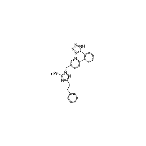 CCCc1nc(CCc2ccccc2)nn1Cc1ccc(-c2ccccc2-c2nnn[nH]2)nc1